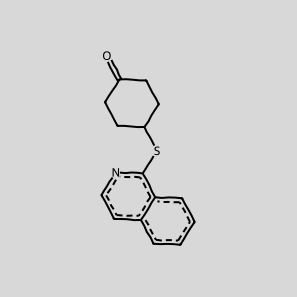 O=C1CCC(Sc2nccc3ccccc23)CC1